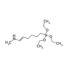 CCO[Si](CCCCC=CNC)(OCC)OCC